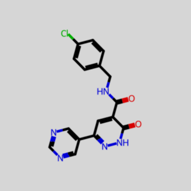 O=C(NCc1ccc(Cl)cc1)c1cc(-c2cncnc2)n[nH]c1=O